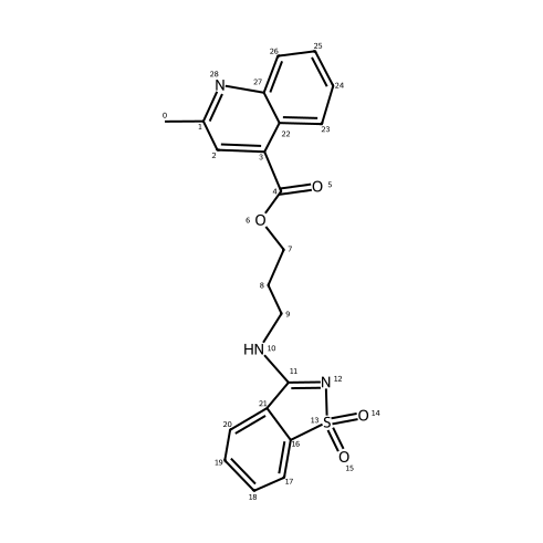 Cc1cc(C(=O)OCCCNC2=NS(=O)(=O)c3ccccc32)c2ccccc2n1